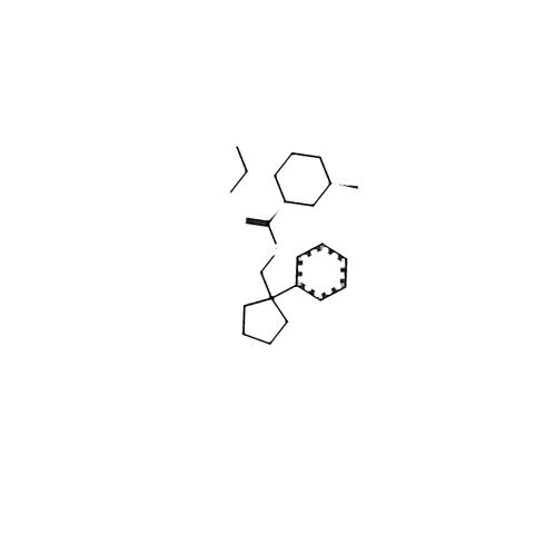 CC(C)[C@@H]1CC[C@@H](C)C[C@H]1C(=O)NCC1(c2ccccc2)CCCC1